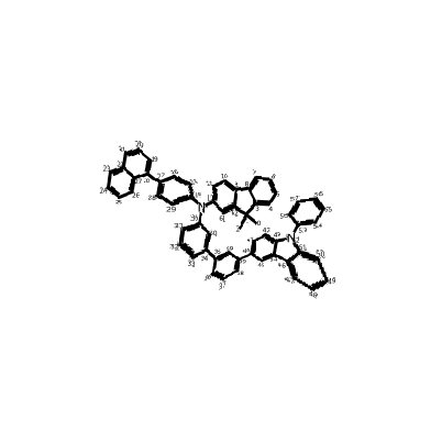 CC1(C)c2ccccc2-c2ccc(N(c3ccc(-c4cccc5ccccc45)cc3)c3cccc(-c4cccc(-c5ccc6c(c5)c5ccccc5n6-c5ccccc5)c4)c3)cc21